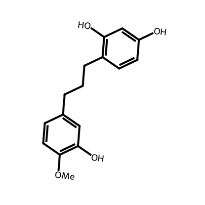 COc1ccc(CCCc2ccc(O)cc2O)cc1O